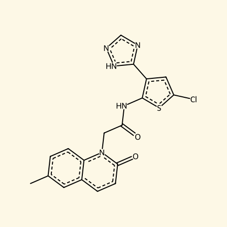 Cc1ccc2c(ccc(=O)n2CC(=O)Nc2sc(Cl)cc2-c2ncn[nH]2)c1